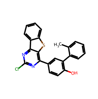 Cc1ccccc1-c1cc(-c2nc(Cl)nc3c2sc2ccccc23)ccc1O